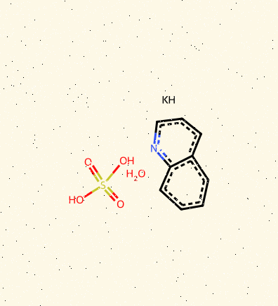 O.O=S(=O)(O)O.[KH].c1ccc2ncccc2c1